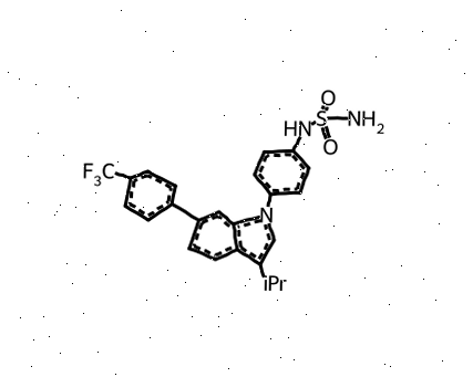 CC(C)c1cn(-c2ccc(NS(N)(=O)=O)cc2)c2cc(-c3ccc(C(F)(F)F)cc3)ccc12